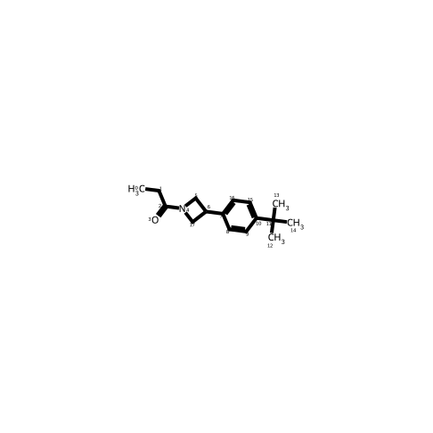 CCC(=O)N1CC(c2ccc(C(C)(C)C)cc2)C1